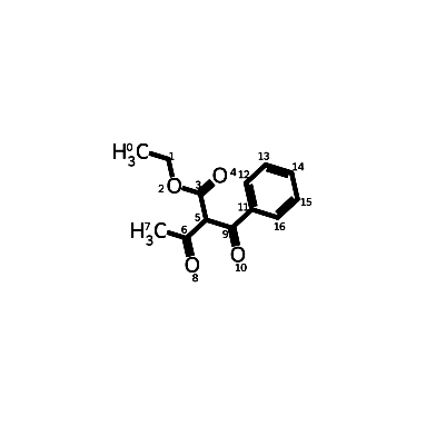 CCOC(=O)C(C(C)=O)C(=O)c1ccccc1